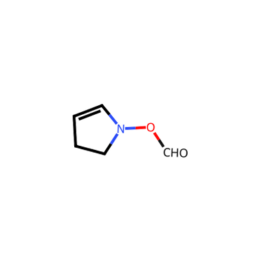 O=CON1C=CCC1